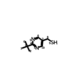 CC(C)(C)c1ncc(CS)cn1